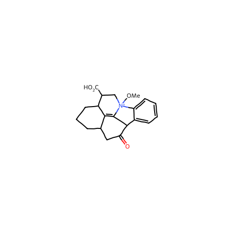 CO[N+]12CC(C(=O)O)C3CCCC4CC(=O)C(C1=C43)c1ccccc12